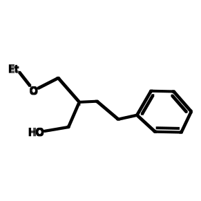 CCOC[C](CO)CCc1ccccc1